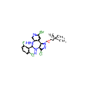 C[Si](C)(C)CCOCn1nc(Cl)c2c1-c1cc(Br)ncc1NC(c1c(F)cccc1Cl)N2